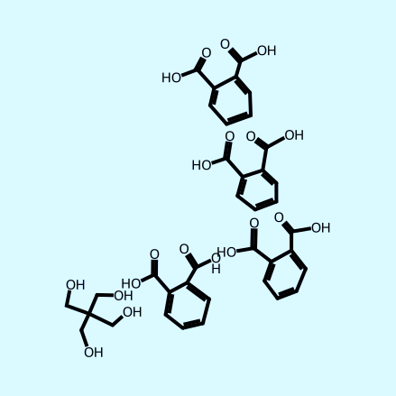 O=C(O)c1ccccc1C(=O)O.O=C(O)c1ccccc1C(=O)O.O=C(O)c1ccccc1C(=O)O.O=C(O)c1ccccc1C(=O)O.OCC(CO)(CO)CO